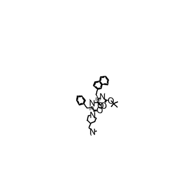 CN(C)CC1CCN(C(=O)[C@@H](Cc2ccccc2)N(C)C(=O)[C@@H](Cc2ccc3ccccc3c2)N(C)C(=O)OC(C)(C)C)CC1